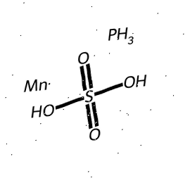 O=S(=O)(O)O.P.[Mn]